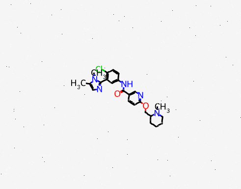 Cc1cnc(-c2cc(NC(=O)c3ccc(OCC4CCCCN4C)nc3)ccc2Cl)n1C